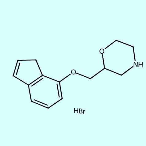 Br.C1=Cc2cccc(OCC3CNCCO3)c2C1